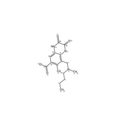 CCCCN(C)Cc1c(C)c([N+](=O)[O-])cc2c1[N]C(=O)C(=O)N2